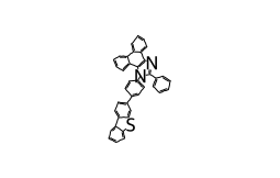 c1ccc(-c2nc3c4ccccc4c4ccccc4c3n2-c2ccc(-c3ccc4c(c3)sc3ccccc34)cc2)cc1